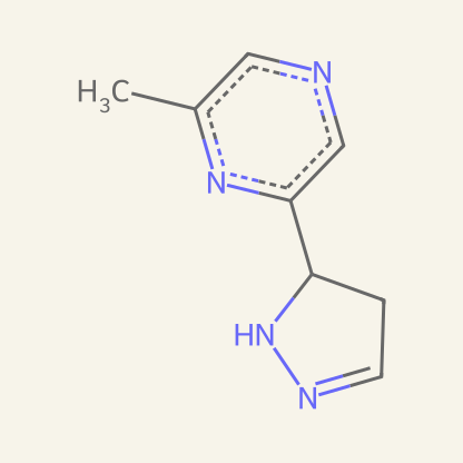 Cc1cncc(C2CC=NN2)n1